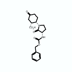 O=C1CC[C@H](N2CC[C@H](NC(=O)OCc3ccccc3)C2=O)[C@H](C(=O)O)C1